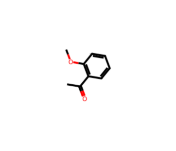 COc1[c]cccc1C(C)=O